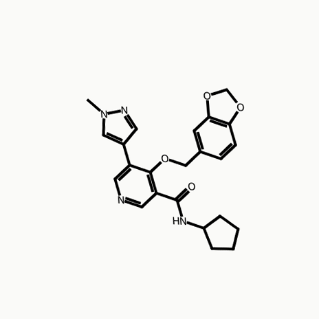 Cn1cc(-c2cncc(C(=O)NC3CCCC3)c2OCc2ccc3c(c2)OCO3)cn1